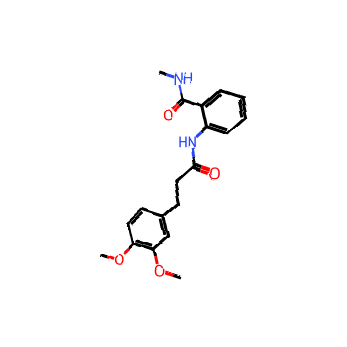 CNC(=O)c1ccccc1NC(=O)CCc1ccc(OC)c(OC)c1